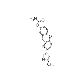 Cn1cc(-n2ccc(=O)c(Cc3cccc(OC(N)=O)c3)n2)cn1